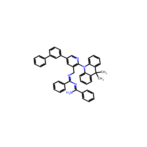 CC1(C)c2ccccc2N(c2ncc(-c3cccc(-c4ccccc4)c3)cc2C/N=C(\N=C(/N)c2ccccc2)c2ccccc2)c2ccccc21